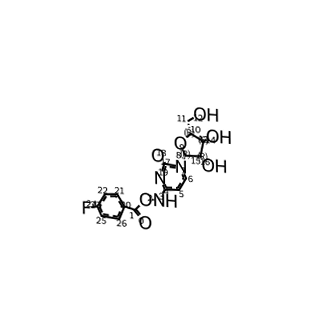 O=C(ONc1ccn([C@@H]2O[C@H](CO)[C@@H](O)[C@H]2O)c(=O)n1)c1ccc(F)cc1